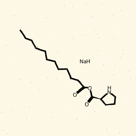 CCCCCCCCCCCC(=O)OC(=O)[C@@H]1CCCN1.[NaH]